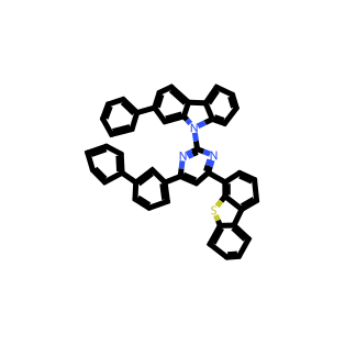 c1ccc(-c2cccc(-c3cc(-c4cccc5c4sc4ccccc45)nc(-n4c5ccccc5c5ccc(-c6ccccc6)cc54)n3)c2)cc1